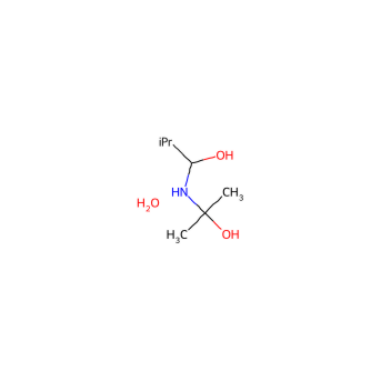 CC(C)C(O)NC(C)(C)O.O